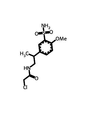 COc1ccc(C(C)CNC(=O)CCl)cc1S(N)(=O)=O